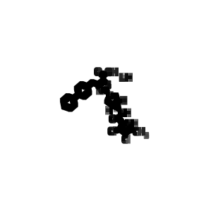 Cc1[nH]c(C(=O)N[C@H]2[C@@H]3CN(c4nc(Cc5ccc(-c6ccccc6)cc5)c(C(=O)O)s4)C[C@@H]32)c(Cl)c1Cl.[LiH]